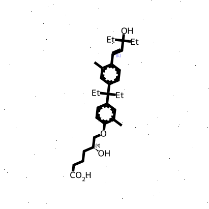 CCC(O)(/C=C/c1ccc(C(CC)(CC)c2ccc(OC[C@H](O)CCCC(=O)O)c(C)c2)cc1C)CC